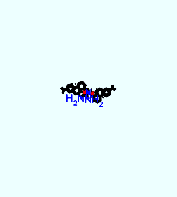 CC(C)c1ccc2c(c1)CC[C@H]1[C@@](C)(CN(C[C@@]3(C)CCC[C@]4(C)c5ccc(C(C)C)cc5CC[C@@H]34)C(N)CN)CCC[C@]21C